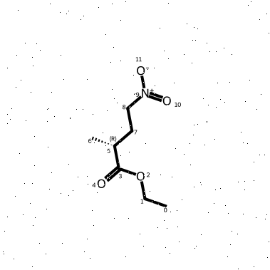 CCOC(=O)[C@H](C)CC[N+](=O)[O-]